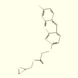 Nc1ccc2cc3ccc(NCC(=O)NCC4CO4)cc3nc2c1